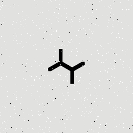 CC(C)C(C)C